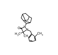 Cc1ccccc1CN1N(C2C3CC4CC(C3)CC2C4)C(=O)C1(C)C